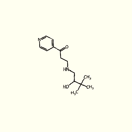 CC(C)(C)C(O)CNCCC(=O)c1ccncc1